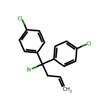 C=CCC(Br)(c1ccc(Cl)cc1)c1ccc(Cl)cc1